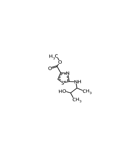 COC(=O)c1csc(NC(C)C(C)O)n1